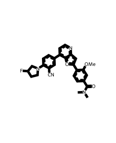 COc1cc(C(=O)N(C)C)ccc1-c1cc2nccc(-c3ccc(N4CCC(F)C4)c(C#N)c3)c2o1